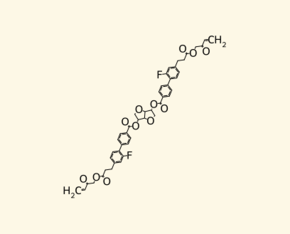 C=CC(=O)COC(=O)CCc1ccc(-c2ccc(C(=O)O[C@H]3COC4C3OC[C@H]4OC(=O)c3ccc(-c4ccc(CCC(=O)OCC(=O)C=C)cc4F)cc3)cc2)c(F)c1